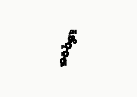 CN1CCN(c2ccc(-c3ccc(N4C[C@H](CO)OC4=O)cc3F)cn2)C=N1